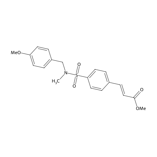 COC(=O)C=Cc1ccc(S(=O)(=O)N(C)Cc2ccc(OC)cc2)cc1